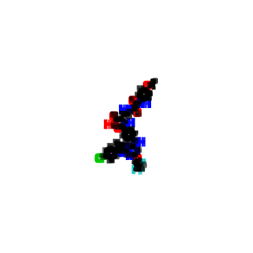 CCOc1ccc(NC(=O)C(=O)NCC[C@H](NC(=O)c2ccc(Nc3nc(NC4(c5ccc(Cl)cc5)CC4)nc(OCC(F)(F)F)n3)cc2)C(=O)O)cc1